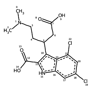 CN(C)CCC(CC(=O)O)c1c(C(=O)O)[nH]c2cc(Cl)cc(Cl)c12